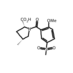 COc1ccc(S(C)(=O)=O)cc1C(=O)N1C[C@H](C)C[C@@H]1C(=O)O